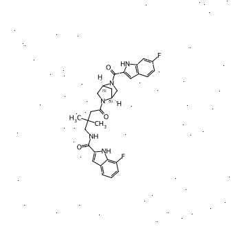 CC(C)(CNC(=O)c1cc2cccc(F)c2[nH]1)CC(=O)N1C[C@@H]2C[C@H]1CN2C(=O)c1cc2ccc(F)cc2[nH]1